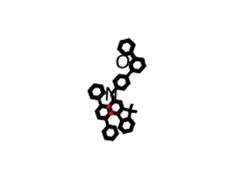 CC1(C)c2ccccc2-c2ccc(N(c3ccc(-c4cccc5c4oc4ccccc45)cc3)c3ccccc3-c3ccc(-c4ccccc4)cc3)cc21